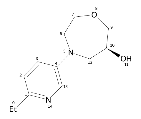 CCc1ccc(N2CCOC[C@@H](O)C2)cn1